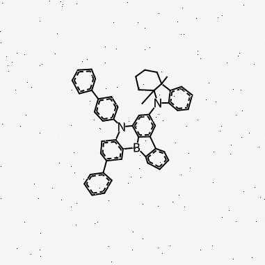 CC12CCCCC1(C)N(c1cc3c4c(c1)N(c1ccc(-c5ccccc5)cc1)c1ccc(-c5ccccc5)cc1B4c1ccccc1-3)c1ccccc12